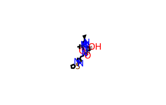 CC(C)(C)[C@@H](C(=O)N1C[C@H](O)C[C@H]1C(=O)NCCc1cnc(SC2CCCC2)nc1)n1cc(C2CC2)nn1